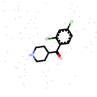 O=C(c1ccc(Cl)cc1Cl)C1CCNCC1